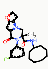 CC1(C(=O)NC2CCCCCCC2)Cn2c(cc3occc32)C(=O)N1c1cccc(F)c1